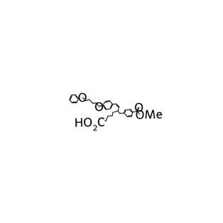 COC(=O)c1ccc(CC(/C=C\c2ccc(OCCCCOc3ccccc3)cc2)CCCCC(=O)O)cc1